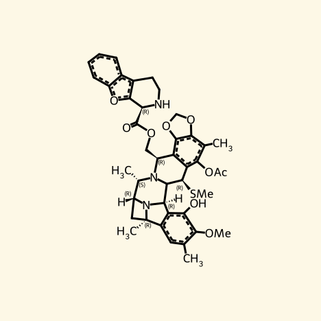 COc1c(C)cc2c(c1O)[C@@H]1C3[C@H](SC)c4c(OC(C)=O)c(C)c5c(c4[C@H](COC(=O)[C@@H]4NCCc6c4oc4ccccc64)N3[C@@H](C)[C@H]3C[C@@]2(C)N13)OCO5